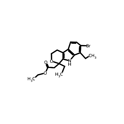 CCOC(=O)CC1(CC)OCCc2c1[nH]c1c(CC)c(Br)ccc21